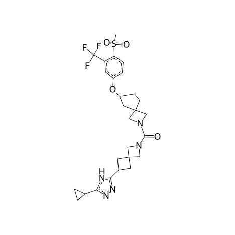 CS(=O)(=O)c1ccc(OC2CCC3(C2)CN(C(=O)N2CC4(CC(c5nnc(C6CC6)[nH]5)C4)C2)C3)cc1C(F)(F)F